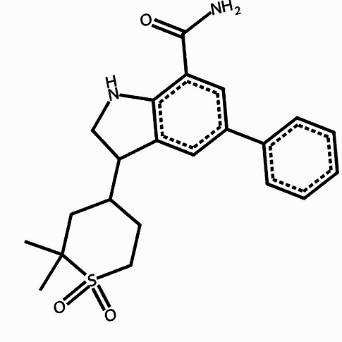 CC1(C)CC(C2CNc3c(C(N)=O)cc(-c4ccccc4)cc32)CCS1(=O)=O